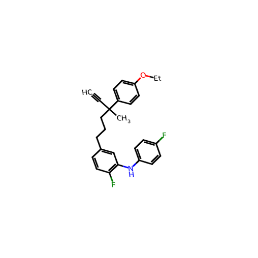 C#CC(C)(CCCc1ccc(F)c(Nc2ccc(F)cc2)c1)c1ccc(OCC)cc1